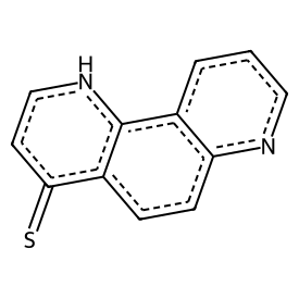 S=c1cc[nH]c2c1ccc1ncccc12